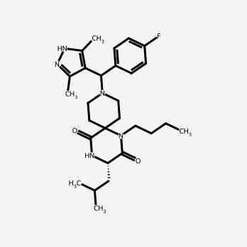 CCCCN1C(=O)[C@H](CC(C)C)NC(=O)C12CCN(C(c1ccc(F)cc1)c1c(C)n[nH]c1C)CC2